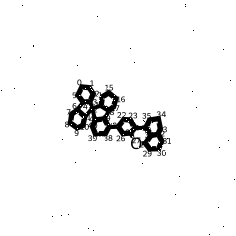 c1ccc2c(c1)-c1ccccc1C21c2ccccc2-c2c(-c3ccc4c(c3)Oc3cccc5cccc-4c35)cccc21